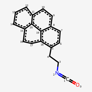 O=C=NCCc1ccc2ccc3cccc4ccc1c2c34